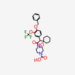 O=C(O)N1CCN(C(=O)C(c2ccc(OCc3ccccc3)c(OC(F)(F)F)c2)C2(O)CCCCC2)CC1